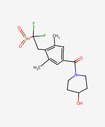 Cc1cc(C(=O)N2CCC(O)CC2)cc(C)c1CC(F)(F)[SH](=O)=O